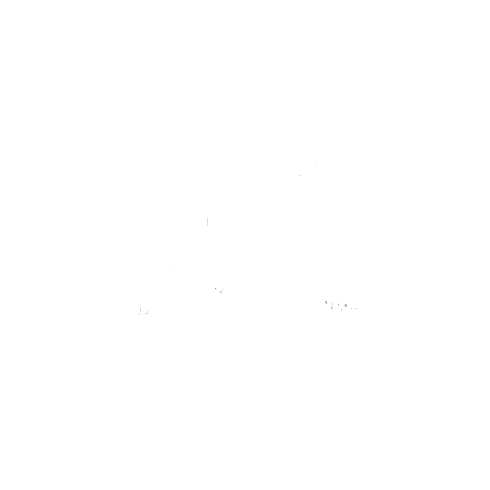 CNC(=O)OC1CCN(C(=O)OC(C)(C)C)CC1c1ccc2c(c1C)COC2=O